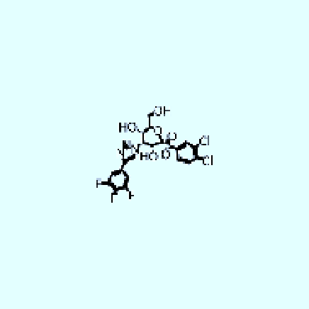 O=S(=O)(c1ccc(Cl)c(Cl)c1)[C@H]1O[C@H](CO)[C@H](O)[C@H](n2cc(-c3cc(F)c(F)c(F)c3)nn2)[C@H]1O